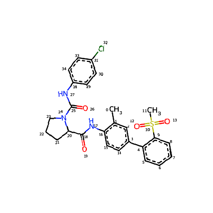 Cc1cc(-c2ccccc2S(C)(=O)=O)ccc1NC(=O)C1CCCN1C(=O)Nc1ccc(Cl)cc1